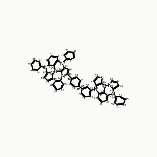 c1ccc(N2c3cccc4c3B(c3c2cc(-c2ccc(-c5cccc(N6c7ccsc7B7c8c6cccc8N(c6ccccc6)c6cccn67)c5)cc2)n3-c2ccccc2)n2cccc2N4c2ccccc2)cc1